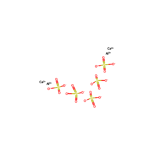 O=S(=O)([O-])[O-].O=S(=O)([O-])[O-].O=S(=O)([O-])[O-].O=S(=O)([O-])[O-].O=S(=O)([O-])[O-].[Al+3].[Al+3].[Ca+2].[Ca+2]